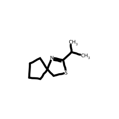 CC(C)C1=NC2(CCCC2)CS1